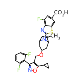 C[C@@H]1CC2CC(OCc3c(-c4c(F)cccc4F)noc3C3CC3)CC1N2c1nc2c(F)cc(C(=O)O)cc2s1